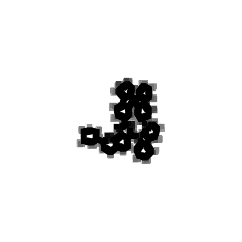 c1ccc(-c2ccc3ccc4c(-n5c6ccccc6c6cccnc65)nc(-c5ccc6c(c5)C(c5ccccc5)(c5ccccc5)c5ccccc5-6)nc4c3n2)cc1